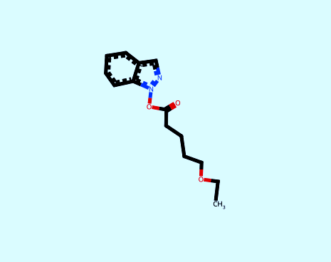 CCOCCCCC(=O)On1ncc2ccccc21